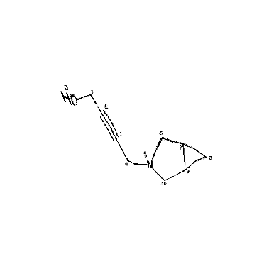 OCC#CCN1CC2CC2C1